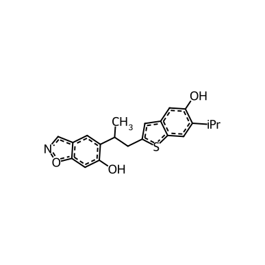 CC(C)c1cc2sc(CC(C)c3cc4cnoc4cc3O)cc2cc1O